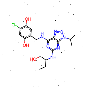 CCC(CO)Nc1nc(NCc2cc(O)c(Cl)cc2O)c2nnn(C(C)C)c2n1